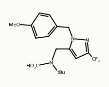 COc1ccc(Cn2nc(C(F)(F)F)cc2CN(C(=O)O)C(C)(C)C)cc1